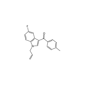 C=CCn1cc(C(=O)c2ccc(C)cc2)c2cc(F)ccc21